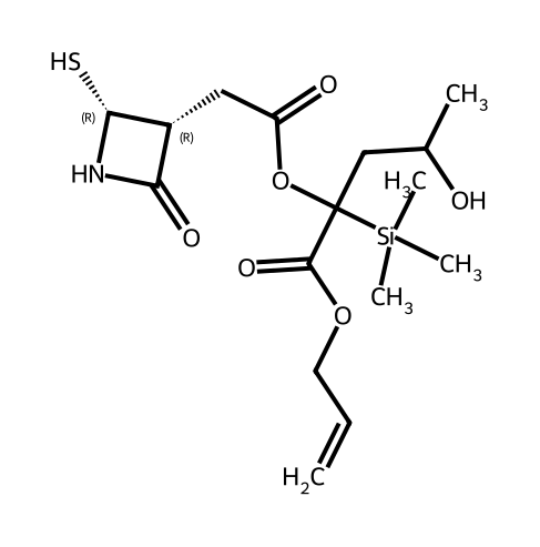 C=CCOC(=O)C(CC(C)O)(OC(=O)C[C@@H]1C(=O)N[C@@H]1S)[Si](C)(C)C